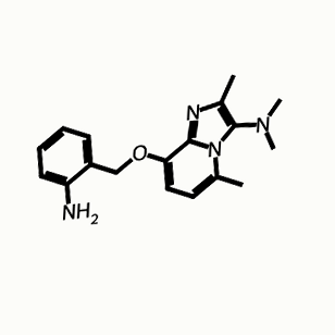 Cc1nc2c(OCc3ccccc3N)ccc(C)n2c1N(C)C